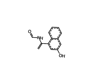 C=C(NC=O)c1cc(O)cc2ccccc12